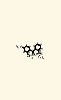 Cc1ccc(C(=O)c2ccccc2P(C)(=O)O)c(C)c1